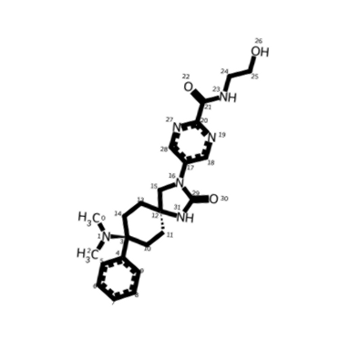 CN(C)[C@]1(c2ccccc2)CC[C@]2(CC1)CN(c1cnc(C(=O)NCCO)nc1)C(=O)N2